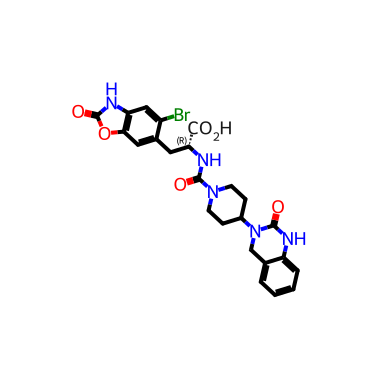 O=C(O)[C@@H](Cc1cc2oc(=O)[nH]c2cc1Br)NC(=O)N1CCC(N2Cc3ccccc3NC2=O)CC1